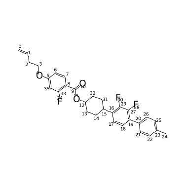 C=CCCOc1ccc(C(=O)OC2CCC(c3ccc(-c4ccc(C)cc4)c(F)c3F)CC2)c(F)c1